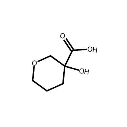 O=C(O)C1(O)CCCOC1